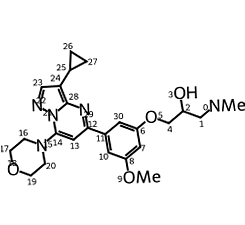 CNCC(O)COc1cc(OC)cc(-c2cc(N3CCOCC3)n3ncc(C4CC4)c3n2)c1